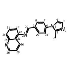 Cc1nccn1-c1ccc(/C=N/c2cccc3ncccc23)cc1